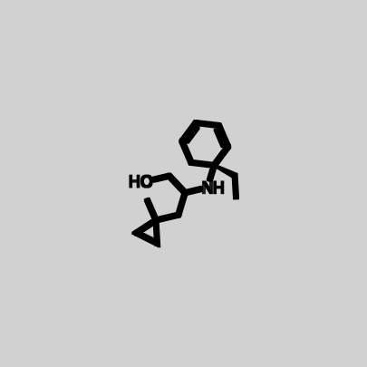 CC[C@]1(NC(CO)CC2(C)CC2)C=CC=CC1